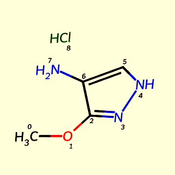 COc1n[nH]cc1N.Cl